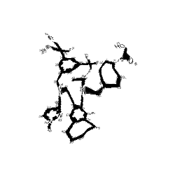 CCN(C[C@H]1CC[C@H](C(=O)O)CC1)c1cc2c(cc1CN(Cc1cc(C(F)(F)F)cc(C(F)(F)F)c1)c1ccn(C)n1)CCCC2